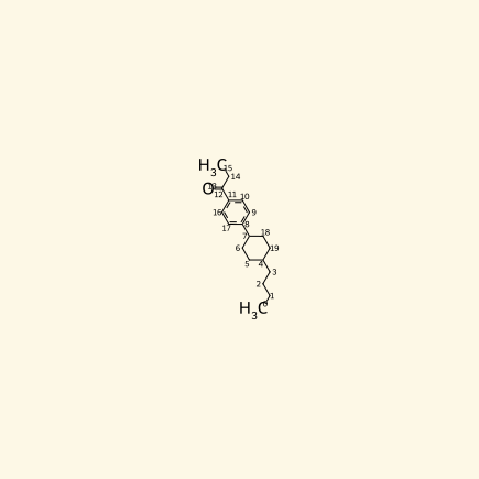 CCCCC1CCC(c2ccc(C(=O)CC)cc2)CC1